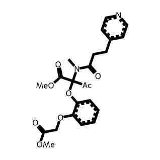 COC(=O)COc1ccccc1OC(C(C)=O)(C(=O)OC)N(C)C(=O)CCc1ccncc1